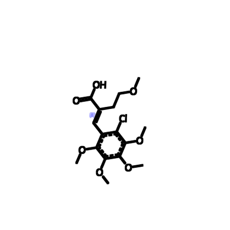 COCC/C(=C\c1c(Cl)c(OC)c(OC)c(OC)c1OC)C(=O)O